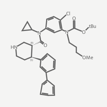 COCCCN(C(=O)OC(C)(C)C)c1cc(N(C(=O)[C@H]2CNCC[C@@H]2c2cccc(-c3ccccc3)c2)C2CC2)ccc1Cl